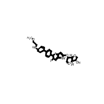 COCCNc1ccc(-c2ccc(-c3nc4cc(O[C@@H]5CO[C@H]6[C@@H]5OC[C@H]6O)[nH]c4cc3F)cc2)cc1